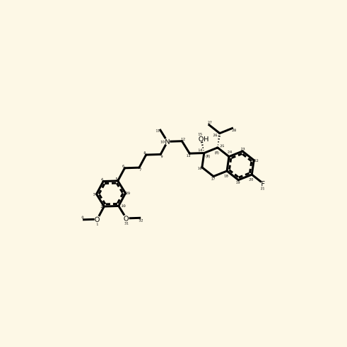 COc1ccc(CCCCN(C)CC[C@]2(O)CCc3cc(F)ccc3[C@H]2C(C)C)cc1OC